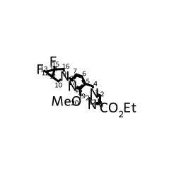 CCOC(=O)c1cn(Cc2ccc(N3CC4C(F)C4(F)C3)nc2COC)cn1